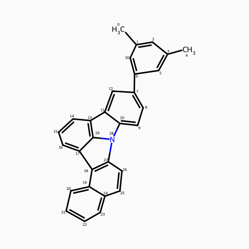 Cc1cc(C)cc(-c2ccc3c(c2)c2cccc4c5c6ccccc6ccc5n3c24)c1